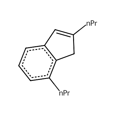 CCCC1=Cc2cccc(CCC)c2C1